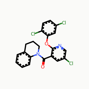 O=C(c1cc(Cl)cnc1Oc1cc(Cl)ccc1Cl)N1CCCc2ccccc21